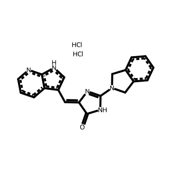 Cl.Cl.O=C1NC(N2Cc3ccccc3C2)=N/C1=C\c1c[nH]c2ncccc12